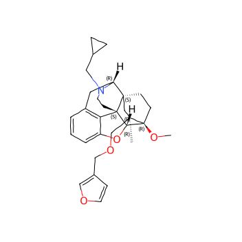 CO[C@]12CC[C@@]3(C[C@]1(C)COCc1ccoc1)[C@H]1Cc4cccc5c4[C@@]3(CCN1CC1CC1)[C@H]2O5